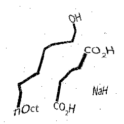 CCCCCCCCCCCCO.O=C(O)CCC(=O)O.[NaH]